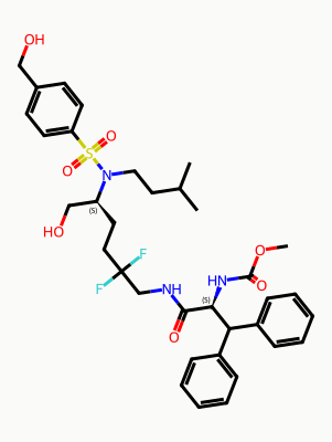 COC(=O)N[C@H](C(=O)NCC(F)(F)CC[C@@H](CO)N(CCC(C)C)S(=O)(=O)c1ccc(CO)cc1)C(c1ccccc1)c1ccccc1